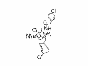 COC(=O)C(CNC(=O)Cc1ccc(Cl)cc1)NC(=O)Cc1ccc(Cl)cc1